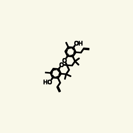 C=CCc1c(O)c(C)cc2c1C(C)(C)CC1(CC(C)(C)c3c(cc(C)c(O)c3CC=C)O1)O2